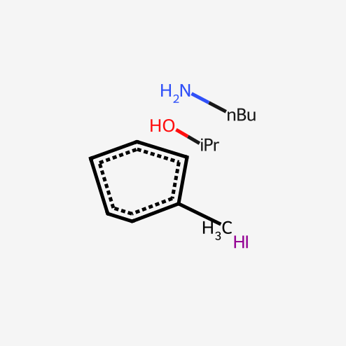 CC(C)O.CCCCN.Cc1ccccc1.I